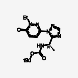 CCn1nc(-n2ncnc2[C@H](C)NC(=O)OC(C)(C)C)ccc1=O